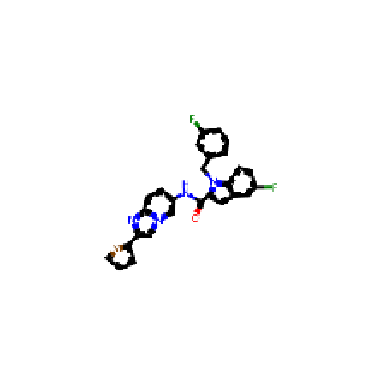 O=C(Nc1ccc2nc(-c3cccs3)cn2c1)c1cc2cc(F)ccc2n1Cc1cccc(F)c1